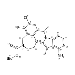 Cc1nn(C(C)c2cc(Cl)c(F)c3c2OCCN(C(=O)OC(C)(C)C)C3)c2ncnc(N)c12